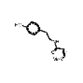 CS/C=C\C(=O)NCCc1ccc(O)cc1